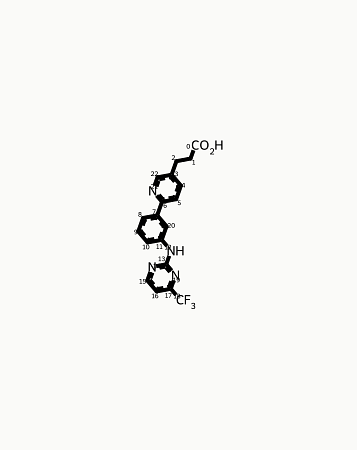 O=C(O)CCc1ccc(-c2cccc(Nc3nccc(C(F)(F)F)n3)c2)nc1